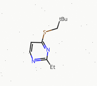 CCc1nccc(SCC(C)(C)C)n1